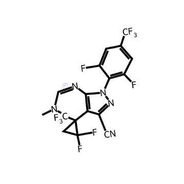 CN(C)/C=N\c1c(C2(C(F)(F)F)CC2(F)F)c(C#N)nn1-c1c(F)cc(C(F)(F)F)cc1F